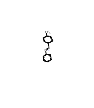 FC(F)(F)c1ccc(/N=N/c2ccccc2)cc1